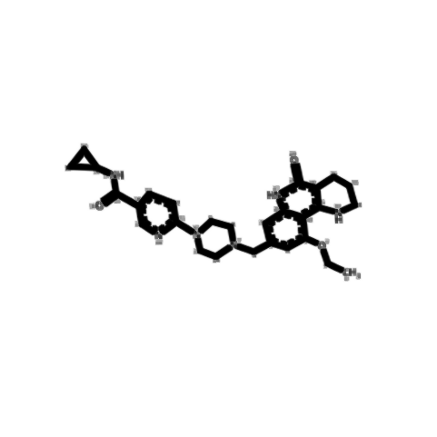 CCOc1cc(CN2CCN(c3ccc(C(=O)NC4CC4)cn3)CC2)cc2[nH]c(=O)c3c(c12)NCCC3